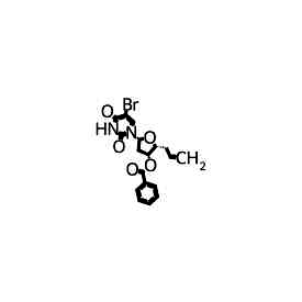 C=CC[C@H]1O[C@@H](n2cc(Br)c(=O)[nH]c2=O)C[C@@H]1OC(=O)c1ccccc1